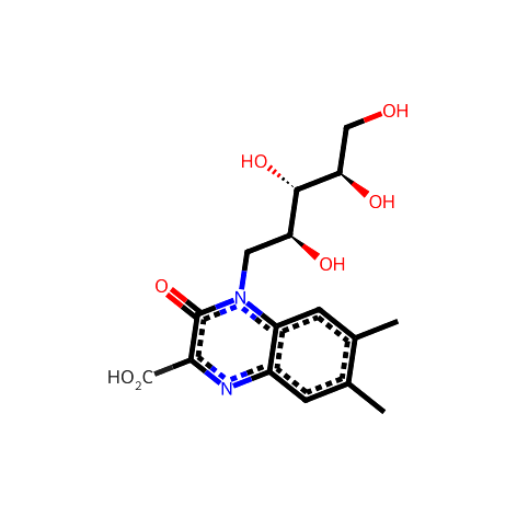 Cc1cc2nc(C(=O)O)c(=O)n(C[C@H](O)[C@H](O)[C@H](O)CO)c2cc1C